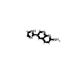 Nc1ccc2cc(-c3ncc[nH]3)cnc2n1